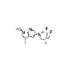 FC1CN(c2cnc3c(c2)c(I)cn3S)CC(F)(F)O1